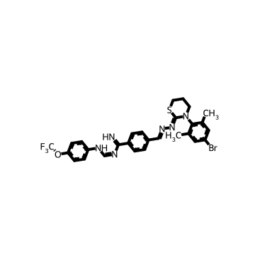 Cc1cc(Br)cc(C)c1N1CCCS/C1=N\N=C\c1ccc(C(=N)/N=C\Nc2ccc(OC(F)(F)F)cc2)cc1